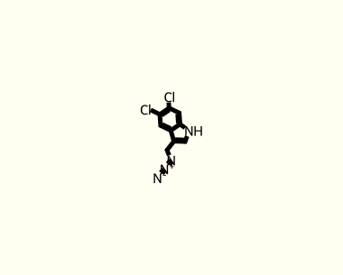 [N-]=[N+]=NCc1c[nH]c2cc(Cl)c(Cl)cc12